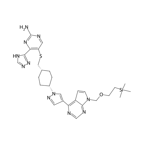 C[Si](C)(C)CCOCn1ccc2c(-c3cnn([C@H]4CC[C@@H](CSc5cnc(N)nc5-c5nnc[nH]5)CC4)c3)ncnc21